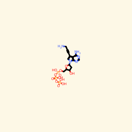 NCC#Cc1cn(C2CC(O)C(COP(=O)(O)OP(=O)(O)OP(=O)(O)O)O2)c2ncnc(N)c12